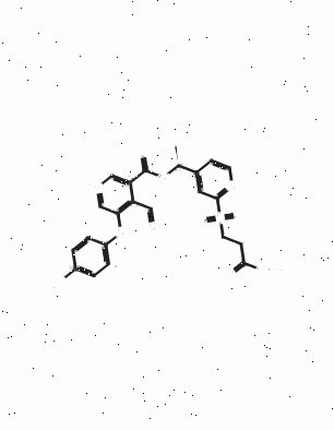 COC(=O)CCS(=O)(=O)c1cc([C@H](C)NC(=O)c2cncc(Nc3ccc(F)cc3)c2C=N)ccn1